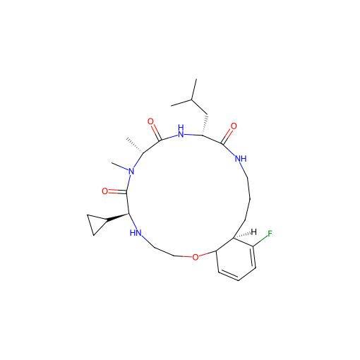 CC(C)C[C@H]1NC(=O)[C@@H](C)N(C)C(=O)[C@H](C2CC2)NCCOC2C=CC=C(F)[C@@H]2CCCNC1=O